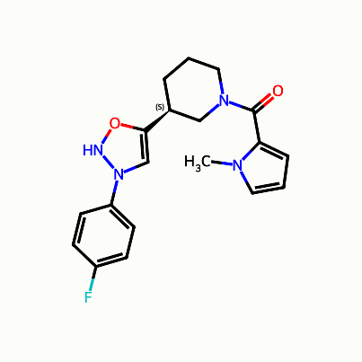 Cn1cccc1C(=O)N1CCC[C@H](C2=CN(c3ccc(F)cc3)NO2)C1